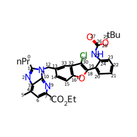 CCCc1nc2c(C)cc(C(=O)OCC)nc2n1Cc1ccc2oc(-c3ccccc3NC(=O)OC(C)(C)C)c(Cl)c2c1